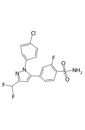 NS(=O)(=O)c1ccc(-c2cc(C(F)F)nn2-c2ccc(Cl)cc2)cc1F